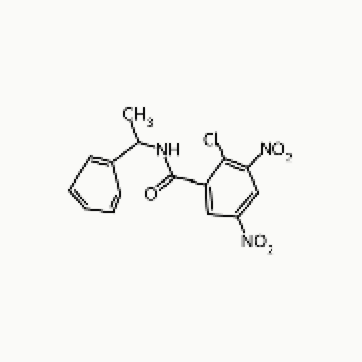 CC(NC(=O)c1cc([N+](=O)[O-])cc([N+](=O)[O-])c1Cl)c1ccccc1